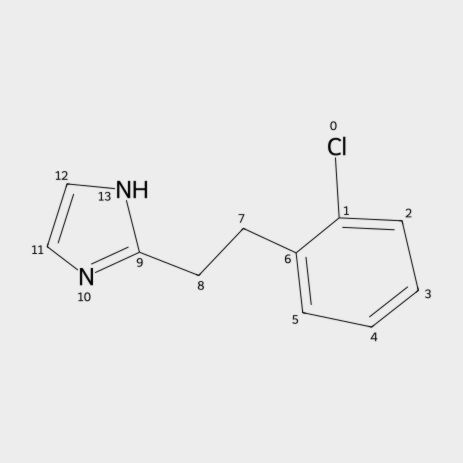 Clc1ccccc1CCc1ncc[nH]1